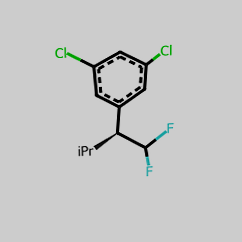 CC(C)[C@@H](c1cc(Cl)cc(Cl)c1)C(F)F